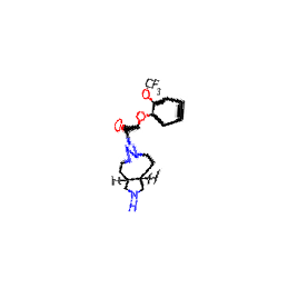 O=C(COc1ccccc1OC(F)(F)F)N1CC[C@@H]2CNC[C@@H]2CC1